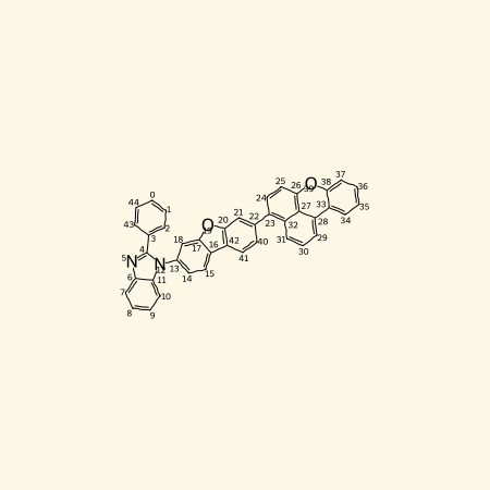 c1ccc(-c2nc3ccccc3n2-c2ccc3c(c2)oc2cc(-c4ccc5c6c(cccc46)-c4ccccc4O5)ccc23)cc1